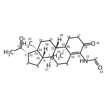 CC(=O)[C@H]1CC[C@H]2[C@@H]3CCC4=C(NC=O)C(=O)CC[C@]4(C)[C@H]3CC[C@]12C